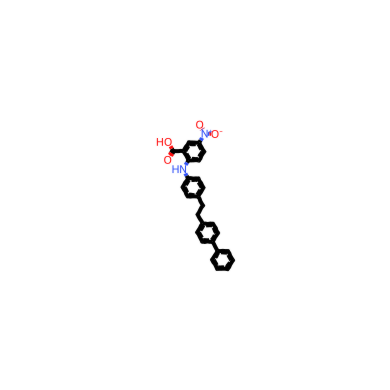 O=C(O)c1cc([N+](=O)[O-])ccc1Nc1ccc(CCc2ccc(-c3ccccc3)cc2)cc1